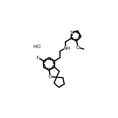 COc1ccsc1CNCCc1cc(F)cc2c1CC1(CCCC1)O2.Cl